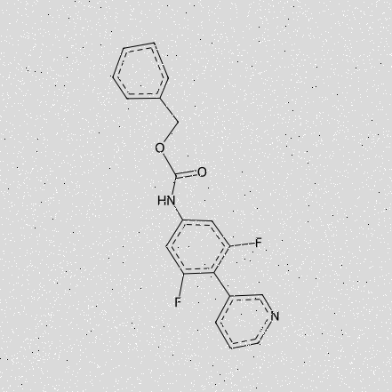 O=C(Nc1cc(F)c(-c2cccnc2)c(F)c1)OCc1ccccc1